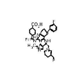 CC[C@@H](Nc1nc2c(c(N[C@@H](CN3CCCC(CF)C3)c3cnn(C)c3)n1)C[C@H](c1cccc(F)c1)CC2)C1CCC(C(=O)O)CC1